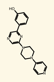 Oc1cccc(-c2cncc(N3CCN(c4ccncc4)CC3)n2)c1